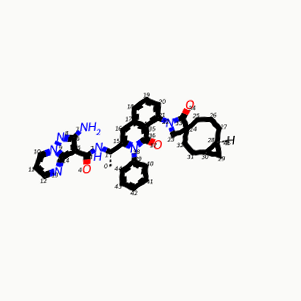 C[C@H](NC(=O)c1c(N)nn2cccnc12)c1cc2cccc(N3CC4(CCC[C@H]5CC5CC4)C3=O)c2c(=O)n1-c1ccccc1